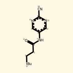 CC(C)(C)CCC(=O)Nc1cnc(C#N)nc1